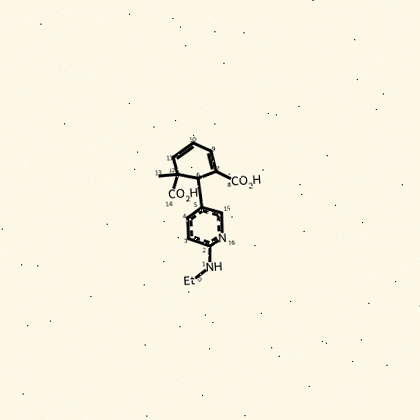 CCNc1ccc(C2C(C(=O)O)=CC=CC2(C)C(=O)O)cn1